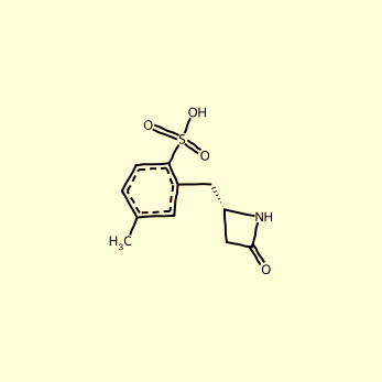 Cc1ccc(S(=O)(=O)O)c(C[C@H]2CC(=O)N2)c1